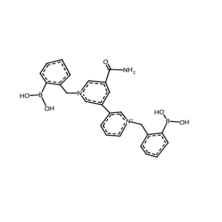 NC(=O)c1cc(-c2ccc[n+](Cc3ccccc3B(O)O)c2)c[n+](Cc2ccccc2B(O)O)c1